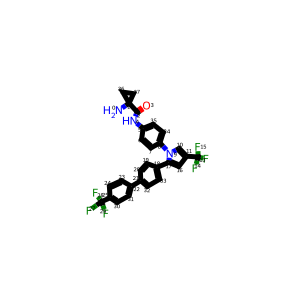 NC1(C(=O)Nc2ccc(-n3cc(C(F)(F)F)cc3-c3ccc(-c4ccc(C(F)(F)F)cc4)cc3)cc2)CC1